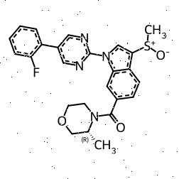 C[C@@H]1COCCN1C(=O)c1ccc2c([S+](C)[O-])cn(-c3ncc(-c4ccccc4F)cn3)c2c1